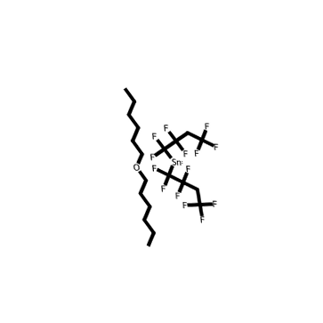 CCCCCCOCCCCCC.FC(F)(F)CC(F)(F)[C](F)(F)[Sn][C](F)(F)C(F)(F)CC(F)(F)F